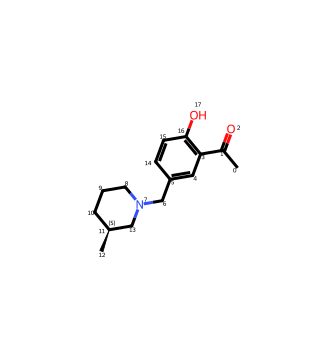 CC(=O)c1cc(CN2CCC[C@H](C)C2)ccc1O